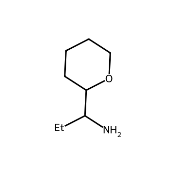 CCC(N)C1CCCCO1